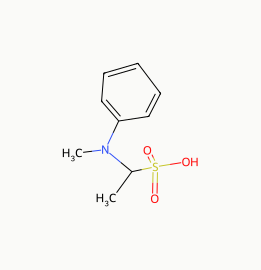 CC(N(C)c1ccccc1)S(=O)(=O)O